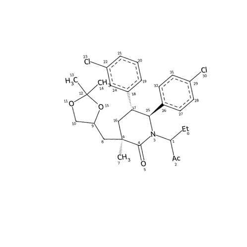 CCC(C(C)=O)N1C(=O)[C@@](C)(CC2COC(C)(C)O2)C[C@H](c2cccc(Cl)c2)[C@H]1c1ccc(Cl)cc1